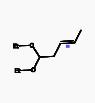 C/C=C/CC(OCC)OCC